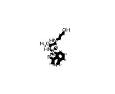 C[C@@H](CNCCCO)NS(=O)(=O)c1cccc2cncc(F)c12